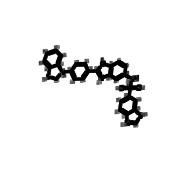 O=S(=O)(Nc1ccc2oc(-c3ccc(N4CSc5ccccc54)cc3)nc2c1)c1ccc2ncsc2c1